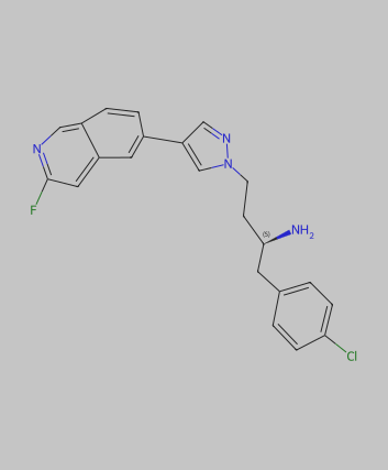 N[C@H](CCn1cc(-c2ccc3cnc(F)cc3c2)cn1)Cc1ccc(Cl)cc1